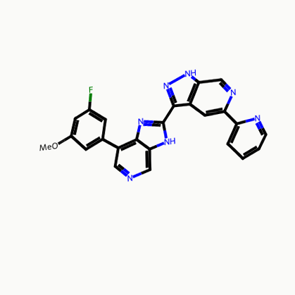 COc1cc(F)cc(-c2cncc3[nH]c(-c4n[nH]c5cnc(-c6ccccn6)cc45)nc23)c1